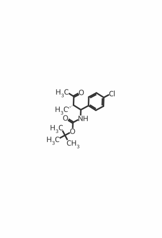 CC(=O)[C@@H](C)C(NC(=O)OC(C)(C)C)c1ccc(Cl)cc1